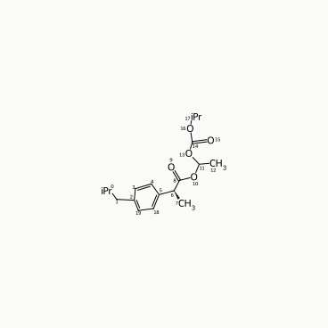 CC(C)Cc1ccc([C@H](C)C(=O)OC(C)OC(=O)OC(C)C)cc1